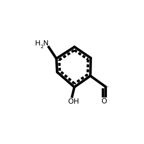 Nc1ccc([C]=O)c(O)c1